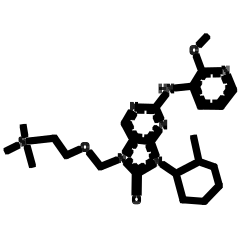 COc1ncccc1Nc1ncc2c(n1)n(C1CCCCC1C)c(=O)n2COCC[Si](C)(C)C